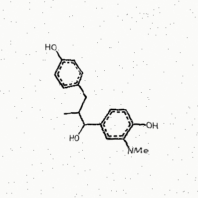 CNc1cc(C(O)C(C)Cc2ccc(O)cc2)ccc1O